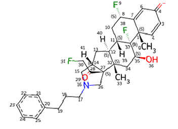 C[C@]12C=CC(=O)C=C1[C@@H](F)C[C@H]1[C@@H]3C[C@H]4CN(CCCc5ccccc5)C[C@@]4(C(=O)CF)[C@@]3(C)C[C@H](O)[C@@]12F